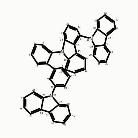 c1cc(-c2ccccc2-n2c3ccccc3c3c(-n4c5ccccc5c5ccccc54)cccc32)cc(-n2c3ccccc3c3ccccc32)c1